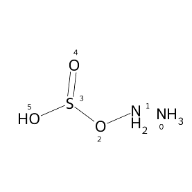 N.NOS(=O)O